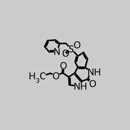 CCOC(=O)c1c[nH]c2c(=O)[nH]c3ccc(S(=O)(=O)Cc4ccccn4)cc3c12